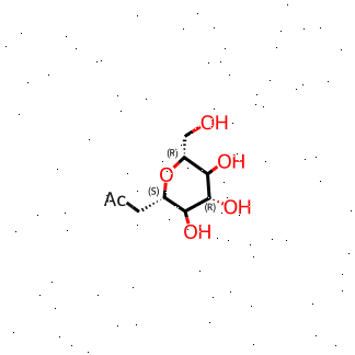 CC(=O)C[C@@H]1O[C@H](CO)C(O)[C@H](O)C1O